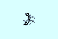 Cc1cc(CC(c2cccnc2)S(N)(=O)=O)n(C)c1C(=O)c1ccc(F)cc1